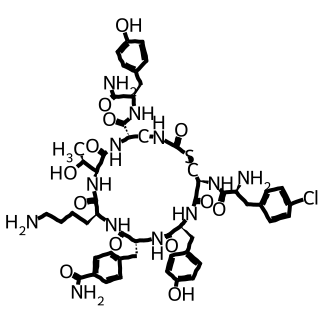 C[C@@H](O)[C@@H]1NC(=O)[C@H](CCCCN)NC(=O)[C@@H](Cc2ccc(C(N)=O)cc2)NC(=O)[C@H](Cc2ccc(O)cc2)NC(=O)[C@H](NC(=O)[C@@H](N)Cc2ccc(Cl)cc2)CSC(=O)NC[C@@H](C(=O)N[C@H](Cc2ccc(O)cc2)C(N)=O)NC1=O